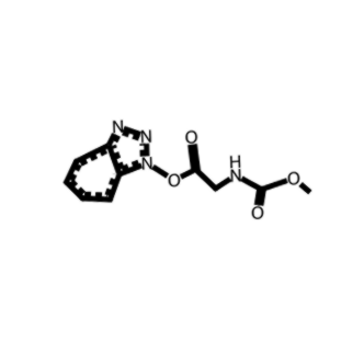 COC(=O)NCC(=O)On1nnc2ccccc21